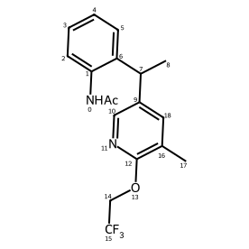 CC(=O)Nc1ccccc1C(C)c1cnc(OCC(F)(F)F)c(C)c1